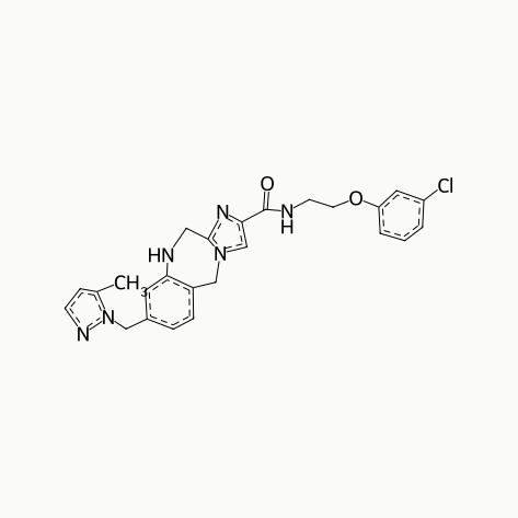 Cc1ccnn1Cc1ccc2c(c1)NCc1nc(C(=O)NCCOc3cccc(Cl)c3)cn1C2